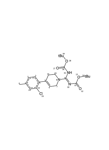 Cc1ccc(C2=CCN(C(=NC(=O)OC(C)(C)C)NC(=O)OC(C)(C)C)CC2)c(Cl)c1